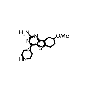 COC1CCc2sc3c(N4CCNCC4)nc(N)nc3c2C1